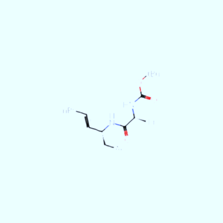 CCC/C=C/[C@H](CC(C)=O)NC(=O)[C@@H](NC(=O)OC(C)(C)C)C(C)C